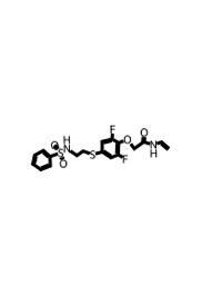 C=CNC(=O)COc1c(F)cc(SCCNS(=O)(=O)c2ccccc2)cc1F